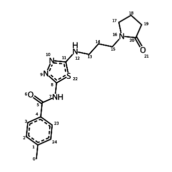 Cc1ccc(C(=O)Nc2nnc(NCCCN3CCCC3=O)s2)cc1